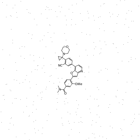 COc1cc(C(=O)N(C)C)ccc1-c1cc2nccc(-c3ccc(C4(N5CCOCC5)CC4)c(C#N)c3)c2o1